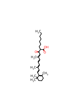 CCCCCCCC(C(=O)O)C(=O)/C=C(C)/C=C/C=C(C)/C=C/C1=C(C)CCCC1(C)C